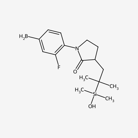 Bc1ccc(N2CCC(CC(C)(C)[Si](C)(C)O)C2=O)c(F)c1